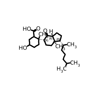 CC(C)CCCC(C)[C@H]1CC[C@H]2C(=O)[C@@H](C3(C)CCC(O)CC3C(=O)O)CC[C@]12C